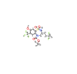 COc1cc2c(cc1C(F)(F)F)N(C(=O)OC(C)(C)C)CC(CCC(C)(F)F)N(C)S2(=O)=O